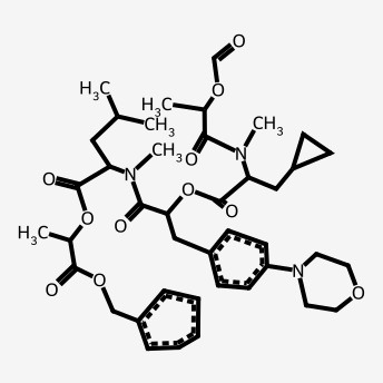 CC(C)CC(C(=O)OC(C)C(=O)OCc1ccccc1)N(C)C(=O)C(Cc1ccc(N2CCOCC2)cc1)OC(=O)C(CC1CC1)N(C)C(=O)C(C)OC=O